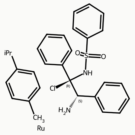 Cc1ccc(C(C)C)cc1.N[C@@H](c1ccccc1)[C@@](Cl)(NS(=O)(=O)c1ccccc1)c1ccccc1.[Ru]